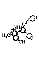 Cc1ccc(N(C)C)c(C(=NN)c2cc(N3CCOCC3)cc(OCCN3CCOCC3)n2)c1